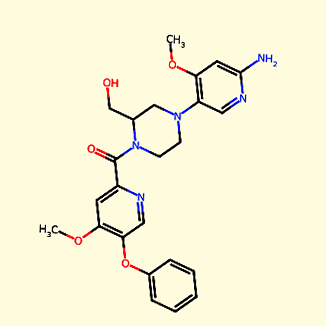 COc1cc(C(=O)N2CCN(c3cnc(N)cc3OC)CC2CO)ncc1Oc1ccccc1